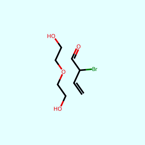 C=CC(Br)C=O.OCCOCCO